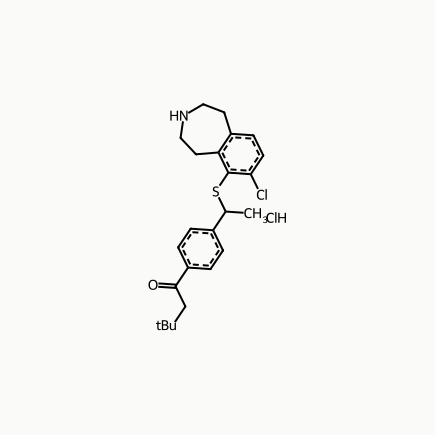 CC(Sc1c(Cl)ccc2c1CCNCC2)c1ccc(C(=O)CC(C)(C)C)cc1.Cl